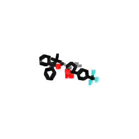 C[C@H]1C[C@@H](CO[Si](c2ccccc2)(c2ccccc2)C(C)(C)C)OC1(O)c1ccc(C(F)(F)F)cc1